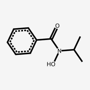 CC(C)N(O)C(=O)c1ccccc1